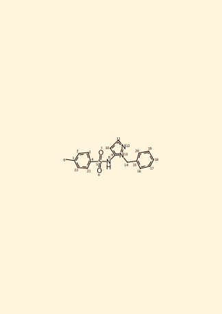 Cc1ccc(S(=O)(=O)Nc2ccnn2Cc2ccccc2)cc1